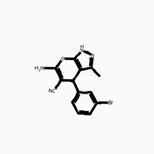 Cc1n[nH]c2c1C(c1cccc(Br)c1)C(C#N)=C(N)O2